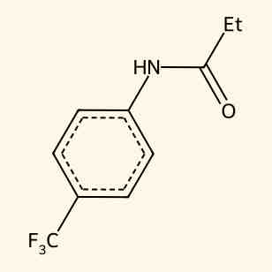 CCC(=O)Nc1ccc(C(F)(F)F)cc1